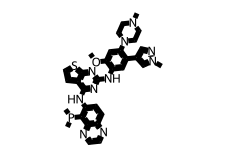 COc1cc(N2CCN(C)CC2)c(-c2cnn(C)c2)cc1Nc1nc(Nc2ccc3nccnc3c2P(C)C)c2ccsc2n1